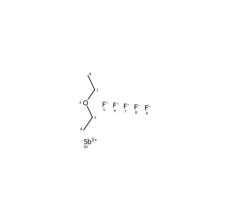 CCOCC.[F-].[F-].[F-].[F-].[F-].[Sb+5]